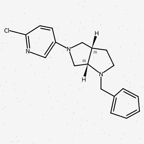 Clc1ccc(N2C[C@@H]3CCN(Cc4ccccc4)[C@@H]3C2)cn1